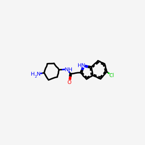 NC1CCC(NC(=O)c2cc3cc(Cl)ccc3[nH]2)CC1